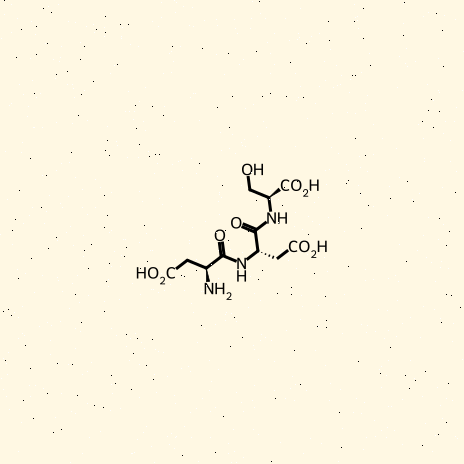 N[C@@H](CC(=O)O)C(=O)N[C@@H](CC(=O)O)C(=O)N[C@@H](CO)C(=O)O